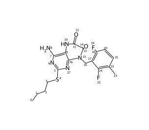 CCCCSc1nc(N)c2[nH]c(=O)c(=O)n(Cc3c(F)ccc(C)c3F)c2n1